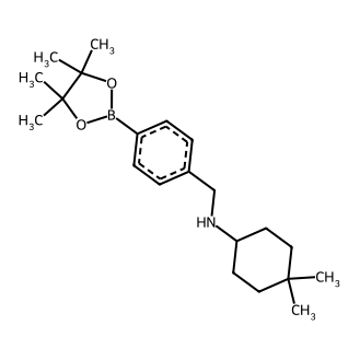 CC1(C)CCC(NCc2ccc(B3OC(C)(C)C(C)(C)O3)cc2)CC1